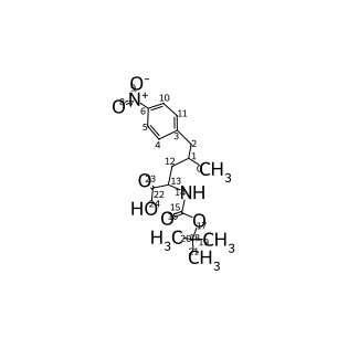 CC(Cc1ccc([N+](=O)[O-])cc1)CC(NC(=O)OC(C)(C)C)C(=O)O